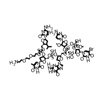 COC1C(OP(=O)(S)OC[C@H]2O[C@@H](n3cnc4c(=O)[nH]c(N)nc43)CC2OP(=S)(S)OC[C@H]2O[C@@H](n3cc(C)c(=O)[nH]c3=O)CC2OP(=S)(OCCOCCOCCN)OC[C@H]2O[C@@H](n3ccc(N)nc3=O)CC2C(C)C)[C@@H](COP(=O)(S)OC2C(OC)[C@H](n3cc(Br)c(=O)[nH]c3=O)O[C@@H]2CO)O[C@H]1n1ccc(N)nc1=O